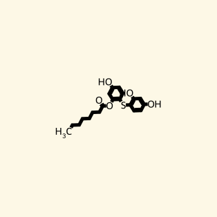 CCCCCCCC(=O)Oc1cc(O)ccc1Sc1ccc(O)cc1O